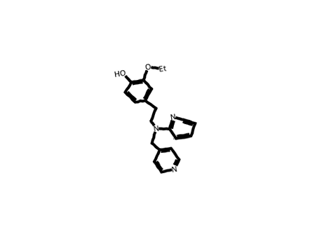 CCOc1cc(CCN(Cc2ccncc2)c2[c]cccn2)ccc1O